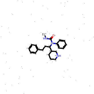 CCNC(=O)N(c1ccccc1)C(CCc1ccccc1)C1CCCNC1